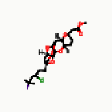 COC(=O)CC1CC[C@@H]2OC3C4O[C@@H]5C[C@](CCC(Cl)CC(C)(C)I)(OC4[C@H]2O1)OC35